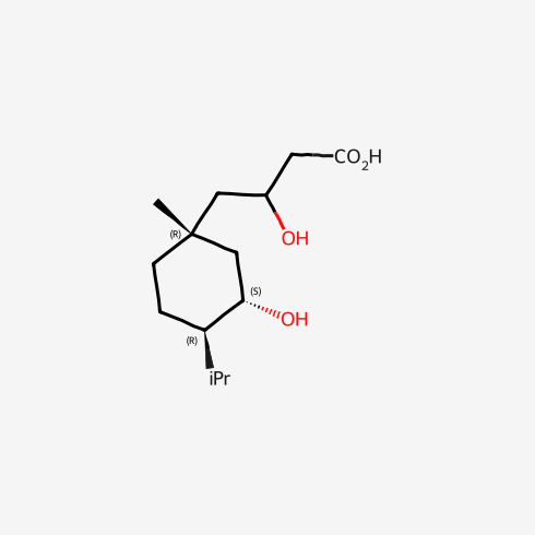 CC(C)[C@H]1CC[C@](C)(CC(O)CC(=O)O)C[C@@H]1O